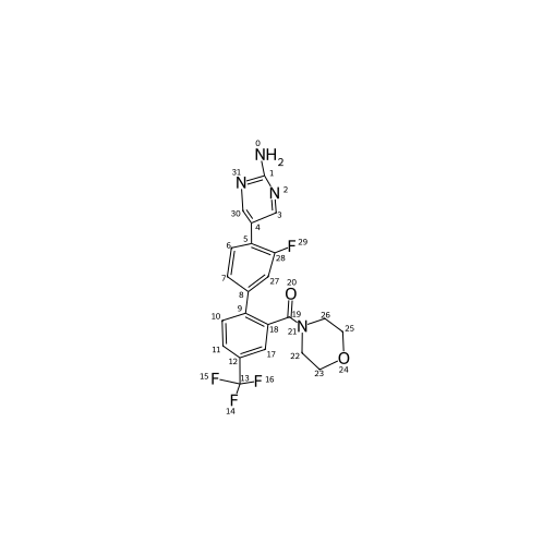 Nc1ncc(-c2ccc(-c3ccc(C(F)(F)F)cc3C(=O)N3CCOCC3)cc2F)cn1